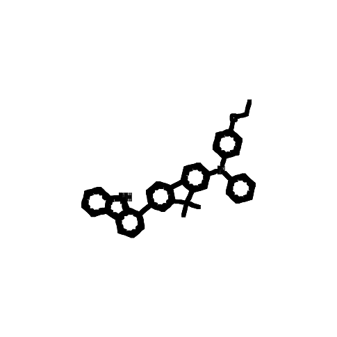 CCOc1ccc(N(c2ccccc2)c2ccc3c(c2)C(C)(C)c2cc(-c4cccc5c4[nH]c4ccccc45)ccc2-3)cc1